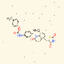 COc1ccc(CC2SC(=O)NC2=O)c2c1N(Cc1ccc(NC(=O)Oc3ccc(C)cc3)cc1)C(=O)CC2